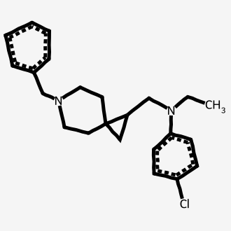 CCN(CC1CC12CCN(Cc1ccccc1)CC2)c1ccc(Cl)cc1